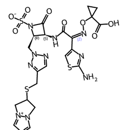 Nc1nc(/C(=N/OC2(C(=O)O)CC2)C(=O)N[C@@H]2C(=O)N(S(=O)(=O)[O-])[C@@H]2Cn2ncc(CSC3Cn4cnc[n+]4C3)n2)cs1